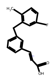 Cc1ccc(F)cc1Cc1cccc(/C=C/C(=O)O)c1